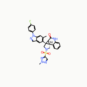 Cc1cc2c(cnn2-c2ccc(F)cc2)cc1[C@]12CN(S(=O)(=O)c3cnn(C)n3)C[C@]13c1ccccc1NC(=O)[C@H]23